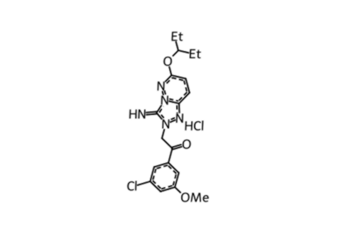 CCC(CC)Oc1ccc2nn(CC(=O)c3cc(Cl)cc(OC)c3)c(=N)n2n1.Cl